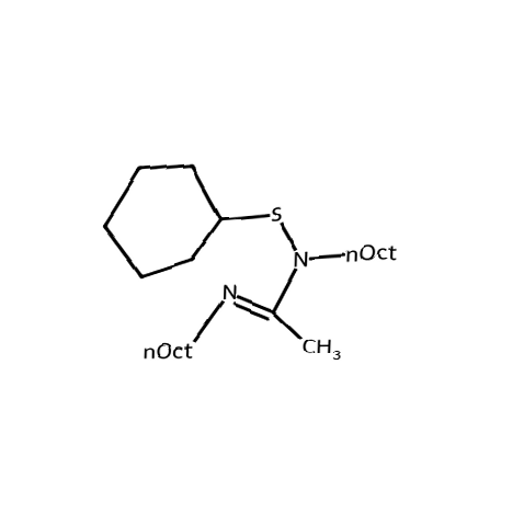 CCCCCCCCN=C(C)N(CCCCCCCC)SC1CCCCC1